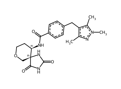 Cc1nn(C)c(C)c1Cc1ccc(C(=O)N[C@@H]2CCOC[C@]23NC(=O)NC3=O)cc1